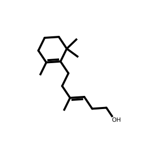 CC(=CCCO)CCC1=C(C)CCCC1(C)C